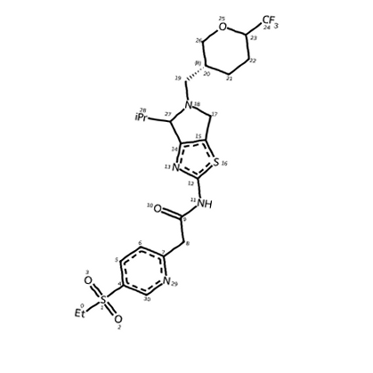 CCS(=O)(=O)c1ccc(CC(=O)Nc2nc3c(s2)CN(C[C@H]2CCC(C(F)(F)F)OC2)C3C(C)C)nc1